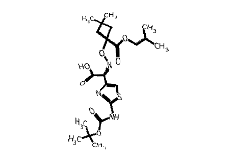 CC(C)COC(=O)C1(O/N=C(\C(=O)O)c2csc(NC(=O)OC(C)(C)C)n2)CC(C)(C)C1